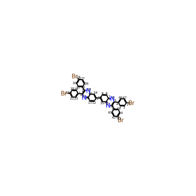 Brc1ccc(-c2nc3ccc(-c4ccc5nc(-c6ccc(Br)cc6)c(-c6ccc(Br)cc6)nc5c4)cc3nc2-c2ccc(Br)cc2)cc1